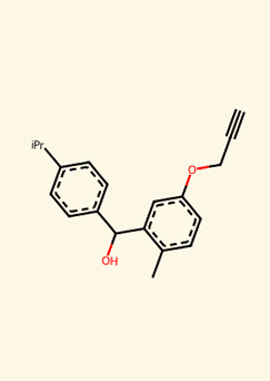 C#CCOc1ccc(C)c(C(O)c2ccc(C(C)C)cc2)c1